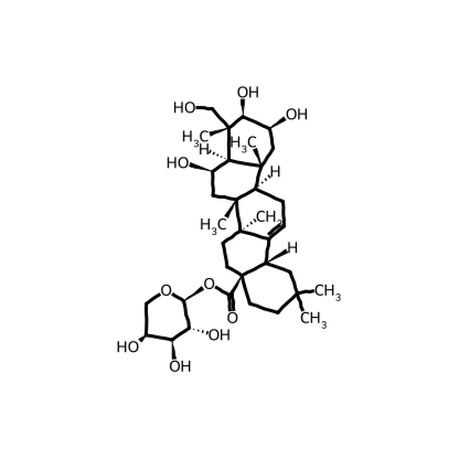 CC1(C)CC[C@]2(C(=O)O[C@@H]3OC[C@H](O)[C@H](O)[C@H]3O)CC[C@]3(C)C(=CC[C@@H]4[C@@]5(C)C[C@H](O)[C@H](O)[C@@](C)(CO)[C@@H]5[C@H](O)C[C@]43C)[C@@H]2C1